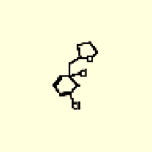 ClC1=CC=CC(Cl)(CC2CCCO2)[CH]1